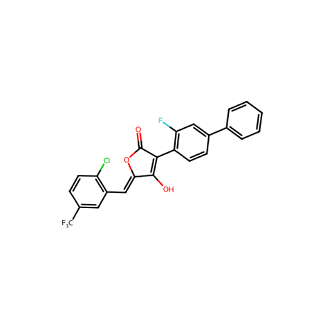 O=C1OC(=Cc2cc(C(F)(F)F)ccc2Cl)C(O)=C1c1ccc(-c2ccccc2)cc1F